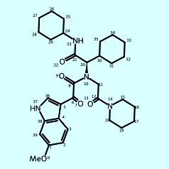 COc1ccc2c(C(=O)C(=O)N(CC(=O)N3CCCCC3)[C@@H](C(=O)NC3CCCCC3)C3CCCCC3)c[nH]c2c1